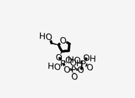 O=P(O)(O)OP(=O)(O)OP(=O)(O)O[C@H]1CCO[C@@H]1CO